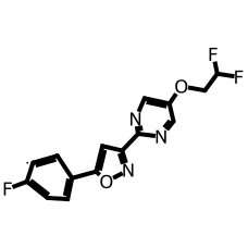 Fc1[c]cc(-c2cc(-c3ncc(OCC(F)F)cn3)no2)cc1